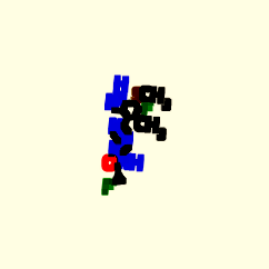 CSc1c(F)c(C)c(-c2cn3cc(NC(=O)C4CC4F)nc3cn2)c2cn[nH]c12